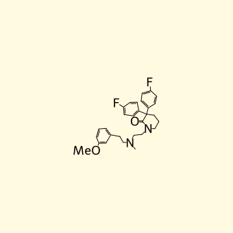 COc1cccc(CCN(C)CCN2CCCC(c3ccc(F)cc3)(c3ccc(F)cc3)C2=O)c1